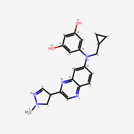 CN1CC(c2cnc3ccc(N(CC4CC4)c4cc(O)cc(O)c4)cc3n2)C=N1